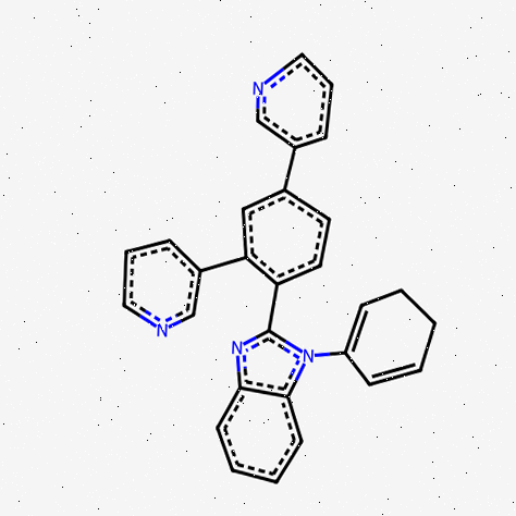 C1=CC(n2c(-c3ccc(-c4cccnc4)cc3-c3cccnc3)nc3ccccc32)=CCC1